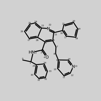 CC(NC(=O)c1c(CCc2cccnc2)c(-c2ccccc2)nc2ccccc12)c1ccccc1